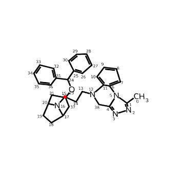 Cc1nnc2n1-c1ccccc1N(CCCN1C3CCC1CC(OC(c1ccccc1)c1ccccc1)C3)C2